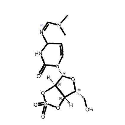 CN(C)/C=N\C1C=CN([C@@H]2O[C@H](CO)[C@H]3OS(=O)(=O)O[C@H]32)C(=O)N1